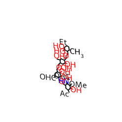 CCC1CC(C)C(COCC2CC(CO)C(COCC3CC(C=O)C(COCC4CC(CC(C)=O)C(O)C(OC)C4NCC=O)C(O)C3O)C(O)C2O)C(O)C1O